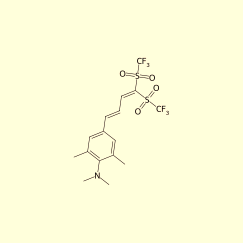 Cc1cc(C=CC=C(S(=O)(=O)C(F)(F)F)S(=O)(=O)C(F)(F)F)cc(C)c1N(C)C